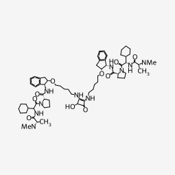 CN[C@@H](C)C(=O)N[C@H](C(=O)N1CCC[C@H]1C(=O)N[C@H]1c2ccccc2C[C@H]1OCCCCCNC1=C(NCCCCCO[C@@H]2Cc3ccccc3[C@@H]2NC(=O)[C@@H]2CCCN2C(=O)[C@@H](NC(=O)[C@H](C)NC)C2CCCCC2)C(O)C1=O)C1CCCCC1